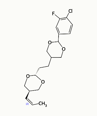 C/C=C\[C@H]1CO[C@H](CCC2COC(c3ccc(Cl)c(F)c3)OC2)OC1